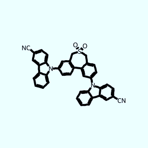 N#Cc1ccc2c(c1)c1ccccc1n2-c1ccc2c(c1)CS(=O)(=O)Cc1ccc(-n3c4ccccc4c4cc(C#N)ccc43)cc1-2